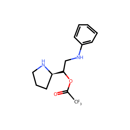 O=C(OC(CNc1ccccc1)[C@H]1CCCN1)C(F)(F)F